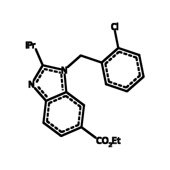 CCOC(=O)c1ccc2nc(C(C)C)n(Cc3ccccc3Cl)c2c1